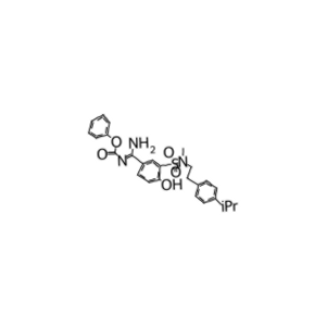 CC(C)c1ccc(CCN(C)S(=O)(=O)c2cc(C(N)=NC(=O)Oc3ccccc3)ccc2O)cc1